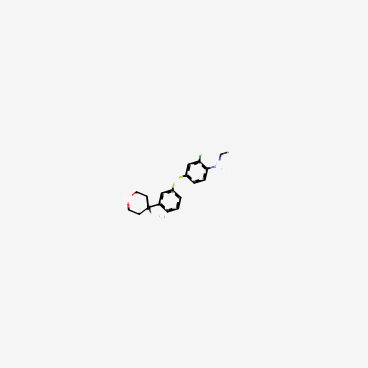 COC1(c2cccc(Sc3ccc(N(CC(F)(F)F)C(C)=O)c(Cl)c3)c2)CCOCC1